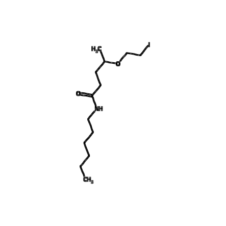 CCCCCCNC(=O)CCC(C)OCCI